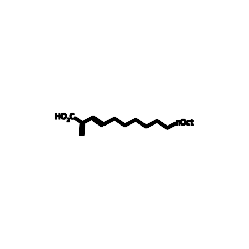 C=C(C=CCCCCCCCCCCCCCC)C(=O)O